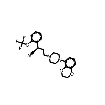 N#CC(CCN1CCN(c2cccc3c2OCCO3)CC1)c1ccccc1OC(F)(F)F